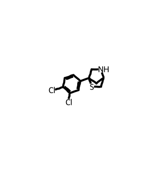 Clc1ccc(C23CNC(CS2)C3)cc1Cl